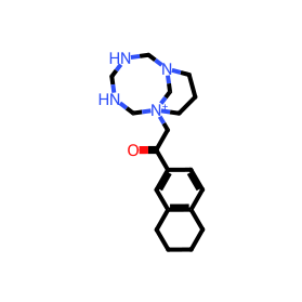 O=C(C[N+]12CCCN(CNCNC1)C2)c1ccc2c(c1)CCCC2